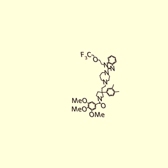 COc1cc(C(=O)N2CCC(CCN3CCCN(c4nc5ccccc5n4CCOCC(F)(F)F)CC3)(c3ccc(C)c(C)c3)C2)cc(OC)c1OC